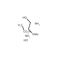 CC(=O)O.COCCO.Cl.N.N